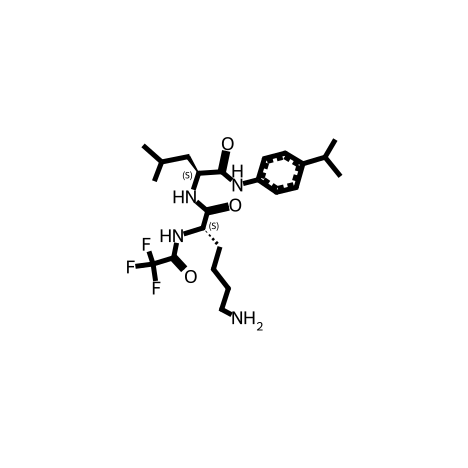 CC(C)C[C@H](NC(=O)[C@H](CCCCN)NC(=O)C(F)(F)F)C(=O)Nc1ccc(C(C)C)cc1